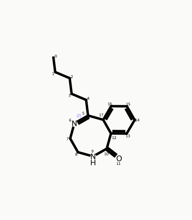 CCCCC/C1=N/CCNC(=O)c2ccccc21